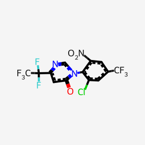 O=c1cc(C(F)(F)C(F)(F)F)ncn1-c1c(Cl)cc(C(F)(F)F)cc1[N+](=O)[O-]